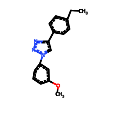 CCc1ccc(-c2cn(-c3cccc(OC)c3)nn2)cc1